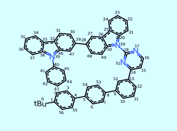 CC(C)(C)c1ccc(-c2ccc(-c3cccc(-c4ccnc(-n5c6ccccc6c6cc(-c7ccc8c9ccccc9n(-c9ccccc9)c8c7)ccc65)n4)c3)cc2)cc1